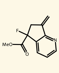 C=C1CC(F)(C(=O)OC)c2cccnc21